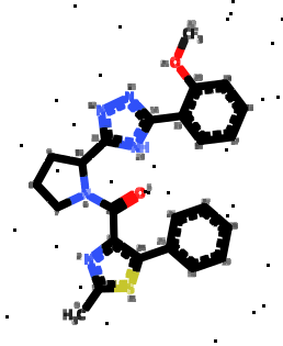 Cc1nc(C(=O)N2CCCC2c2nnc(-c3ccccc3OC(F)(F)F)[nH]2)c(-c2ccccc2)s1